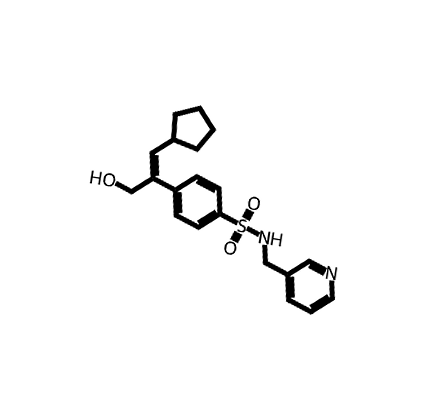 O=S(=O)(NCc1cccnc1)c1ccc(/C(=C\C2CCCC2)CO)cc1